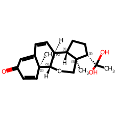 CC(O)(O)[C@H]1CC[C@H]2[C@@H]3C=CC4=CC(=O)C=C[C@]4(C)[C@H]3CC[C@]12C